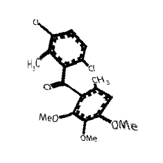 COc1cc(C)c(C(=O)c2c(Cl)ccc(Cl)c2C)c(OC)c1OC